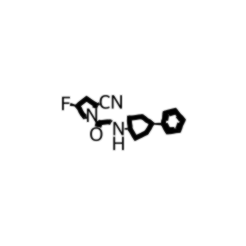 N#C[C@@H]1C[C@H](F)CN1C(=O)CN[C@H]1CC[C@H](c2ccccc2)CC1